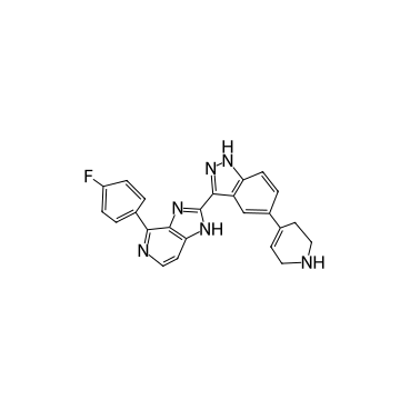 Fc1ccc(-c2nccc3[nH]c(-c4n[nH]c5ccc(C6=CCNCC6)cc45)nc23)cc1